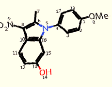 COc1ccc(-n2c(C)c([N+](=O)[O-])c3ccc(O)cc32)cc1